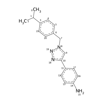 CC(C)c1ccc(Cn2cc(-c3ccc(N)cc3)nn2)cc1